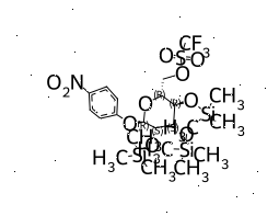 C[Si](C)(C)O[C@@H]1[C@H](O[Si](C)(C)C)[C@@H](Oc2ccc([N+](=O)[O-])cc2)O[C@H](COS(=O)(=O)C(F)(F)F)[C@H]1O[Si](C)(C)C